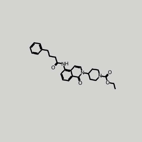 CCOC(=O)N1CCC(n2ccc3c(NC(=O)CCCc4ccccc4)cccc3c2=O)CC1